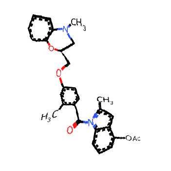 CC(=O)Oc1cccc2c1cc(C)n2C(=O)c1ccc(OC[C@@H]2CN(C)c3ccccc3O2)cc1C